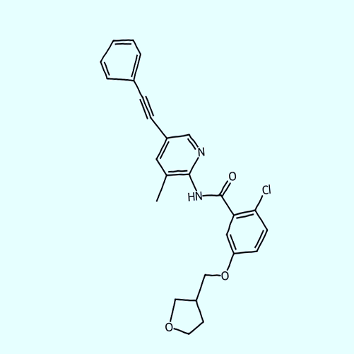 Cc1cc(C#Cc2ccccc2)cnc1NC(=O)c1cc(OCC2CCOC2)ccc1Cl